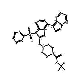 CC(C)(C)OC(=O)N1CCN(Cc2cc3c(-c4cnn5ncccc45)ccnc3n2S(=O)(=O)c2ccccc2)CC1